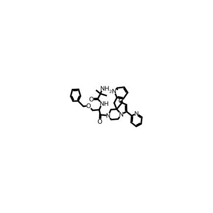 CC(C)(N)C(=O)NC(COCc1ccccc1)C(=O)N1CCN2C(c3ccccn3)=CC(=O)C2(Cc2ccccn2)C1